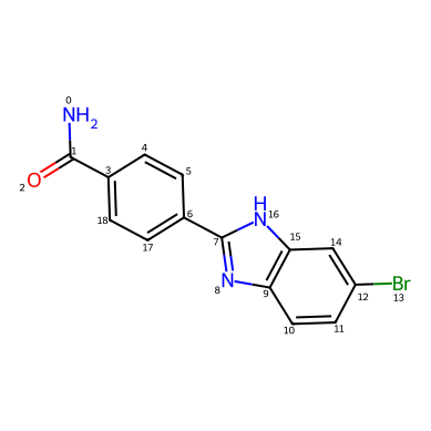 NC(=O)c1ccc(-c2nc3ccc(Br)cc3[nH]2)cc1